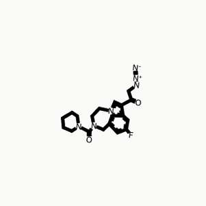 [N-]=[N+]=NCC(=O)c1cn2c3c(cc(F)cc13)CN(C(=O)N1CCCCC1)CC2